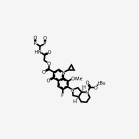 COc1c(N2C[C@@H]3CCCN(C(=O)OC(C)(C)C)[C@@H]3C2)c(F)cc2c(=O)c(C(=O)OCC(=O)NC(P=O)P=O)cn(C3CC3)c12